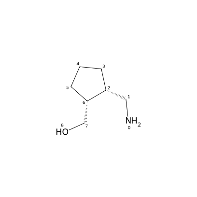 NC[C@H]1CCC[C@H]1CO